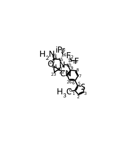 Cc1ccsc1-c1ccc([C@@H](C(F)F)N([C@@H](CC(C)C)C(N)=O)C2(C#N)CC2)cc1